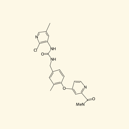 CNC(=O)c1cc(Oc2ccc(CNC(=O)Nc3cc(C)cnc3Cl)cc2C)ccn1